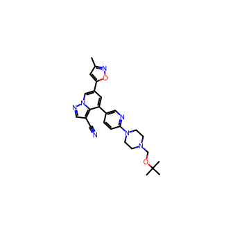 Cc1cc(-c2cc(-c3ccc(N4CCN(COC(C)(C)C)CC4)nc3)c3c(C#N)cnn3c2)on1